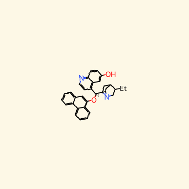 CCC1CN2CCC1CC2[C@@H](Oc1cc2ccccc2c2ccccc12)c1ccnc2ccc(O)cc12